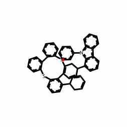 C1=CCC(c2cccc3c2C2=C(CC(c4cccc5c6ccccc6n(-c6ccccc6)c45)C=C2)Sc2ccccc2-c2ccccc2S3)C=C1